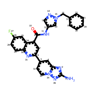 Nc1nc2cc(-c3cc(C(=O)Nc4cnn(Cc5ccccc5)c4)c4cc(F)ccc4n3)ccn2n1